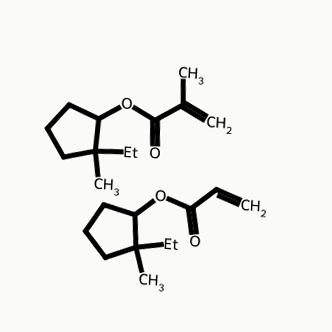 C=C(C)C(=O)OC1CCCC1(C)CC.C=CC(=O)OC1CCCC1(C)CC